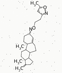 C=C1CCC2C3CCC4=CC(=NOCCc5cc(C)on5)CC[C@]4(C)C3CC[C@]12C